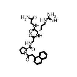 N=C(N)NCCC[C@H](NC(=O)CNC(=O)[C@@H]1CCCN1C(=O)Cc1cccc2ccccc12)C(=O)NCC(N)=O